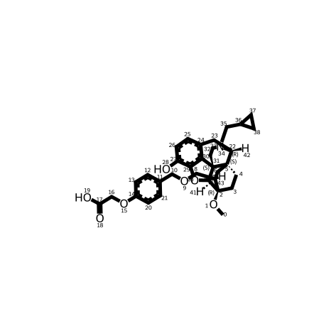 CO[C@]12CC[C@@]3(C[C@@H]1COCc1ccc(OCC(=O)O)cc1)[C@H]1Cc4ccc(O)c5c4[C@@]3(CCN1CC1CC1)[C@H]2O5